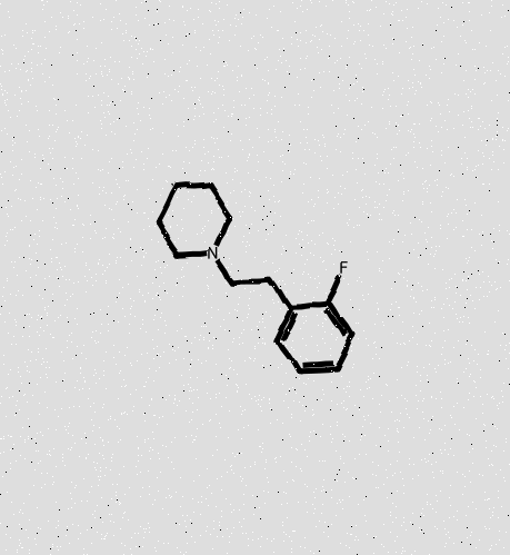 Fc1ccccc1CCN1CC[CH]CC1